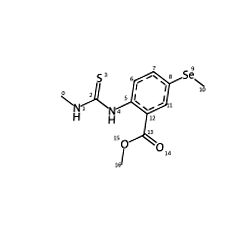 CNC(=S)Nc1ccc([Se]C)cc1C(=O)OC